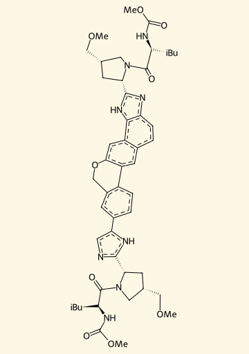 CC[C@H](C)[C@H](NC(=O)OC)C(=O)N1C[C@@H](COC)C[C@H]1c1ncc(-c2ccc3c(c2)COc2cc4c(ccc5nc([C@@H]6C[C@H](COC)CN6C(=O)[C@@H](NC(=O)OC)[C@@H](C)CC)[nH]c54)cc2-3)[nH]1